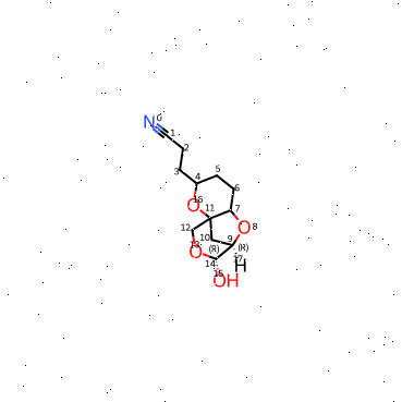 N#CCCC1CCC2O[C@@H]3CC2(CO[C@H]3O)O1